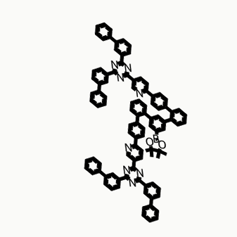 CC1(C)OB(c2cc(-c3ccccc3-c3ccc(-c4ccc(-c5nc(-c6cccc(-c7ccccc7)c6)nc(-c6cccc(-c7ccccc7)c6)n5)cn4)cc3)cc(-c3ccccc3-c3ccc(-c4ccc(-c5nc(-c6cccc(-c7ccccc7)c6)nc(-c6cccc(-c7ccccc7)c6)n5)cn4)cc3)c2)OC1(C)C